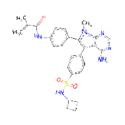 C=C(C)C(=O)Nc1ccc(-c2c(-c3ccc(S(=O)(=O)NC4CCC4)cc3)c3c(N)ncnc3n2C)cc1